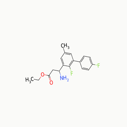 CCOC(=O)CC(N)c1cc(C)cc(-c2ccc(F)cc2)c1F